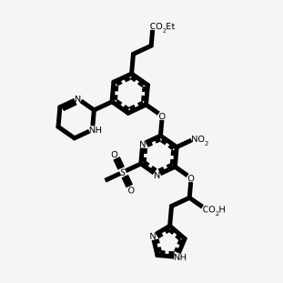 CCOC(=O)CCc1cc(Oc2nc(S(C)(=O)=O)nc(OC(Cc3c[nH]cn3)C(=O)O)c2[N+](=O)[O-])cc(C2N=CCCN2)c1